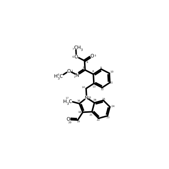 CON=C(C(=O)OC)c1ccccc1Cn1c(C)c(C=O)c2ccccc21